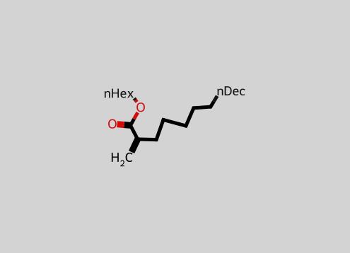 C=C(CCCCCCCCCCCCCCC)C(=O)OCCCCCC